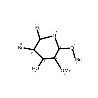 CCC1OC(OC(C)(C)C)C(OC)C(O)C1C(C)(C)C